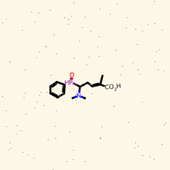 CC(=CCC(N(C)C)[PH](=O)c1ccccc1)C(=O)O